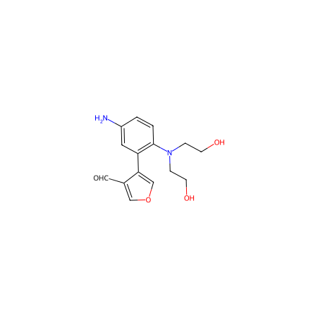 Nc1ccc(N(CCO)CCO)c(-c2cocc2C=O)c1